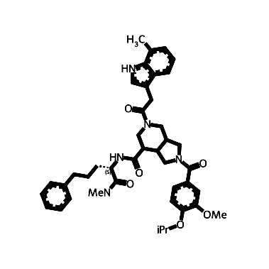 CNC(=O)[C@H](CCCc1ccccc1)NC(=O)C1CN(C(=O)Cc2c[nH]c3c(C)cccc23)CC2CN(C(=O)c3ccc(OC(C)C)c(OC)c3)CC21